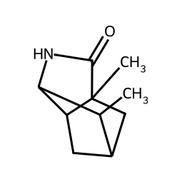 CC1C2CC3C1NC(=O)C3(C)C2